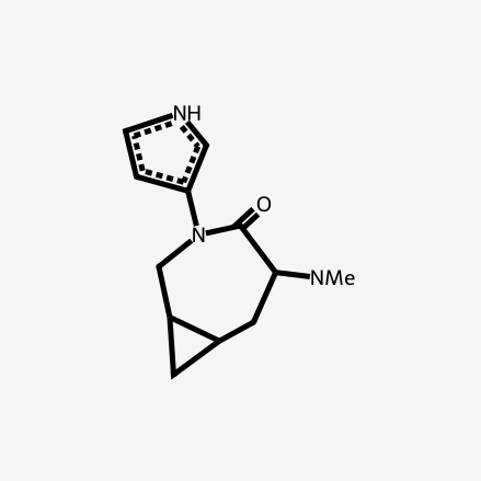 CNC1CC2CC2CN(c2cc[nH]c2)C1=O